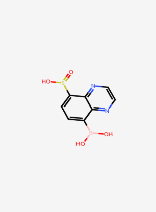 O=S(O)c1ccc(B(O)O)c2nccnc12